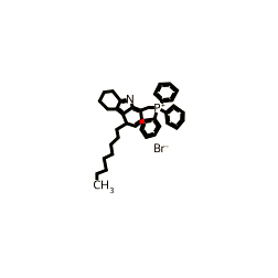 CCCCCCCCC1C=CC(C[P+](c2ccccc2)(c2ccccc2)c2ccccc2)=C2N=C3CCCCC3=C21.[Br-]